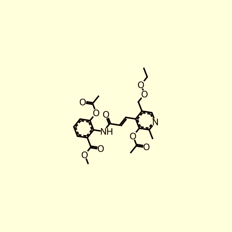 CCOOCc1cnc(C)c(OC(C)=O)c1/C=C/C(=O)Nc1c(OC(C)=O)cccc1C(=O)OC